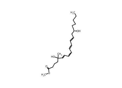 CCCCC[C@@H](O)C/C=C/C=C/C=C\C=C\C(C)(O)CCCC(=O)OC